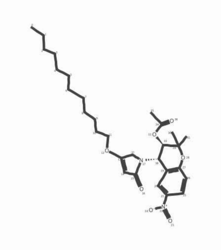 CCCCCCCCCCCCOC1=CC(=O)N([C@H]2c3cc([N+](=O)[O-])ccc3OC(C)(C)[C@@H]2OC(C)=O)C1